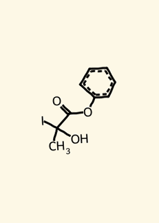 CC(O)(I)C(=O)Oc1ccccc1